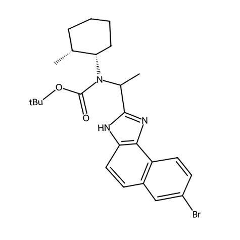 CC(c1nc2c(ccc3cc(Br)ccc32)[nH]1)N(C(=O)OC(C)(C)C)[C@H]1CCCC[C@H]1C